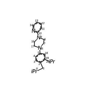 CC(C)Cc1ccc(N2CCN(c3ccccn3)CC2)cc1C(C)C